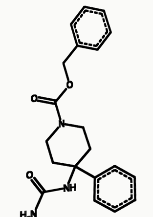 NC(=O)NC1(c2ccccc2)CCN(C(=O)OCc2ccccc2)CC1